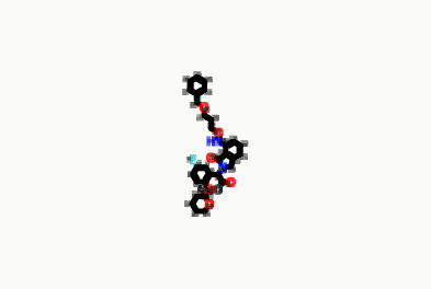 COC(=O)C(c1cc(F)ccc1OC1CCCCO1)N1Cc2cccc(NOCCCOCc3ccccc3)c2C1=O